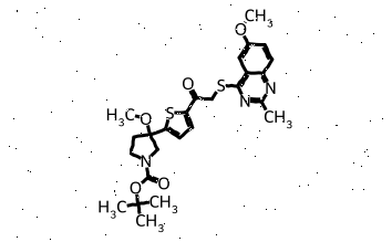 COc1ccc2nc(C)nc(SCC(=O)c3ccc(C4(OC)CCN(C(=O)OC(C)(C)C)C4)s3)c2c1